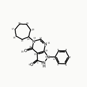 O=c1[nH]n(-c2ccccc2)c2ncn(C3CCCCCC3)c(=O)c12